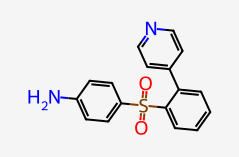 Nc1ccc(S(=O)(=O)c2ccccc2-c2ccncc2)cc1